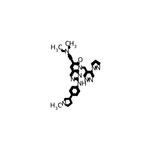 CCN(C#Cc1cc2cnc(Nc3ccc(C4CCN(C)C4)cc3)nc2n(Cc2cnncc2-n2cccn2)c1=O)CC